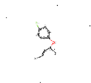 [CH2]C=CC(C)Oc1ccc(F)cc1